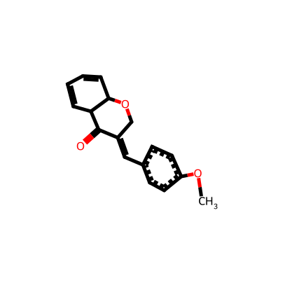 COc1ccc(/C=C2\COC3C=CC=CC3C2=O)cc1